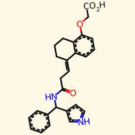 O=C(O)COc1cccc2c1CCCC2=CCC(=O)NC(c1ccccc1)c1cc[nH]c1